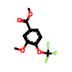 COC(=O)c1ccc(OC(F)(F)F)c(OC)c1